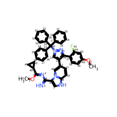 CO/C(=N\C(=N)C1=CNC2C=CC(c3cn(C(c4ccccc4)(c4ccccc4)c4ccccc4)nc3-c3ccc(OC)cc3F)=CN12)C1CC1